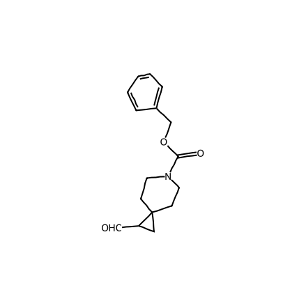 O=CC1CC12CCN(C(=O)OCc1ccccc1)CC2